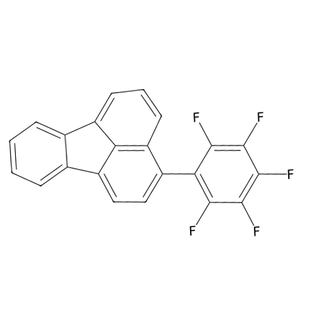 Fc1c(F)c(F)c(-c2ccc3c4c(cccc24)-c2ccccc2-3)c(F)c1F